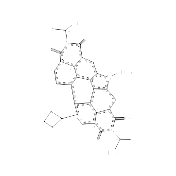 CCCCCCn1c2cc3c(=O)n(C(CC)CC)c(=O)c4ccc5c6c(C7CCC7)cc7c(=O)n(C(CC)CC)c(=O)c8cc1c(c6c78)c2c5c43